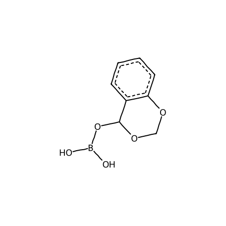 OB(O)OC1OCOc2ccccc21